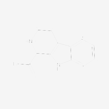 S=C(S)C1NCCc2c1[nH]c1ccccc21